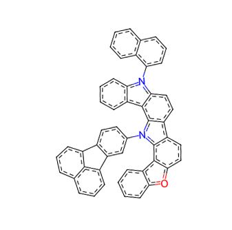 c1ccc2c(-n3c4ccccc4c4c3ccc3c5ccc6oc7ccccc7c6c5n(-c5ccc6c(c5)-c5cccc7cccc-6c57)c34)cccc2c1